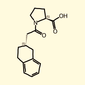 O=C(O)[C@@H]1CCCN1C(=O)C[C@H]1CCc2ccccc2C1